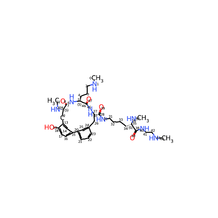 CNCCC[C@@H]1NC(=O)[C@@H](NC)Cc2cc(ccc2O)-c2cccc(c2)C[C@@H](C(=O)NCCCC[C@H](NC)C(=O)NCCNC)NC1=O